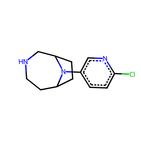 Clc1ccc(N2C3CCNCC2CC3)cn1